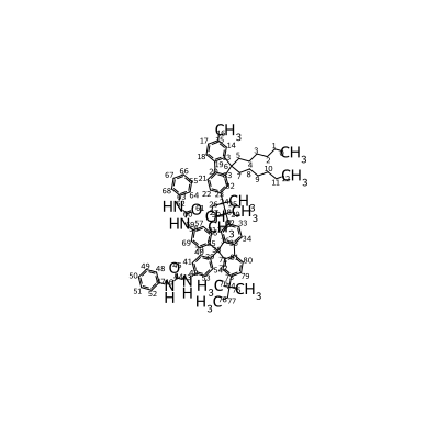 CCCCCCC1(CCCCCC)c2cc(C)ccc2-c2ccc(C(C)(CC)C(C)(CC)c3ccc4c(c3)C(c3ccc(NC(=O)Nc5ccccc5)cc3)(c3ccc(NC(=O)Nc5ccccc5)cc3)c3cc(C(C)(C)CC)ccc3-4)cc21